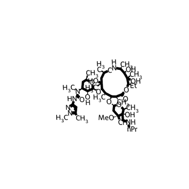 CCCNC[C@]1(O)[C@H](C)O[C@@H](O[C@H]2[C@H](C)[C@@H](O[C@@H]3O[C@H](C)C[C@H](N(C)C(=O)Nc4cc(C)n(C)n4)[C@H]3O)[C@](C)(O)C[C@@H](C)CN[C@H](C)[C@@H](O)[C@](C)(O)[C@@H](CC)OC(=O)[C@@H]2C)C[C@@]1(C)OC